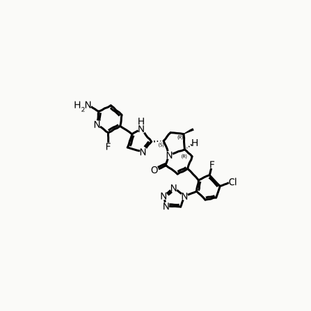 C[C@@H]1C[C@@H](c2ncc(-c3ccc(N)nc3F)[nH]2)N2C(=O)C=C(c3c(-n4cnnn4)ccc(Cl)c3F)C[C@H]12